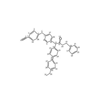 C#Cc1ccc(Cc2ccc(C(C(=O)CCc3ccccc3)c3ccc(-c4ccc(CC)cc4)cc3)cc2)cc1